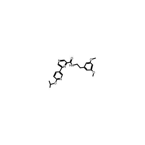 COc1cc(CCNC(=O)c2cncc(-c3ccc(OC(C)C)nc3)n2)cc(OC)c1